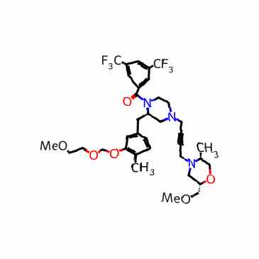 COCCOCOc1cc(CC2CN(CC#CCN3C[C@@H](COC)OC[C@@H]3C)CCN2C(=O)c2cc(C(F)(F)F)cc(C(F)(F)F)c2)ccc1C